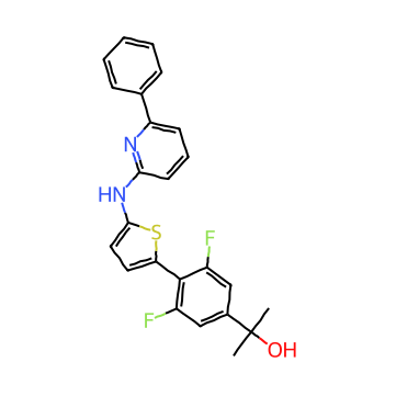 CC(C)(O)c1cc(F)c(-c2ccc(Nc3cccc(-c4ccccc4)n3)s2)c(F)c1